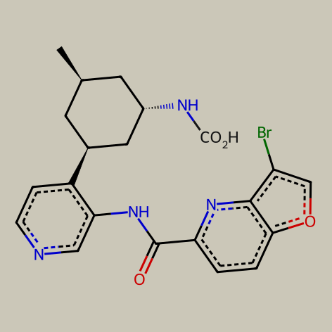 C[C@H]1C[C@H](NC(=O)O)C[C@@H](c2ccncc2NC(=O)c2ccc3occ(Br)c3n2)C1